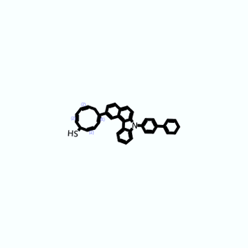 SC1/C=C\C=C/C/C(c2ccc3ccc4c(c3c2)c2ccccc2n4-c2ccc(C3=CCCC=C3)cc2)=C\C=C/1